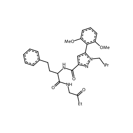 CCC(=O)CNC(=O)C(CCc1ccccc1)NC(=O)c1cc(-c2c(OC)cccc2OC)n(CC(C)C)n1